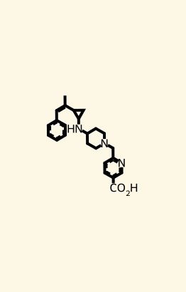 CC(=Cc1ccccc1)C1CC1NC1CCN(Cc2ccc(C(=O)O)cn2)CC1